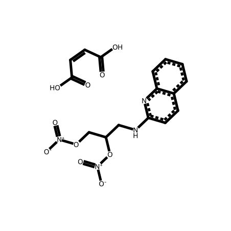 O=C(O)/C=C\C(=O)O.O=[N+]([O-])OCC(CNc1ccc2ccccc2n1)O[N+](=O)[O-]